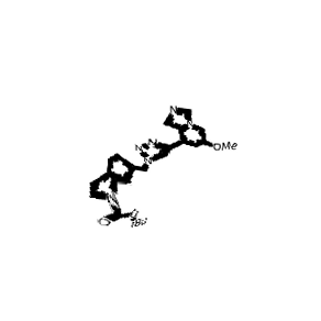 COc1cc(-c2cn(Cc3ccc4ccn(C(=O)OC(C)(C)C)c4c3)nn2)c2cncn2c1